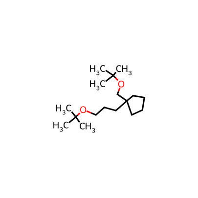 CC(C)(C)OCCCC1(COC(C)(C)C)CCCC1